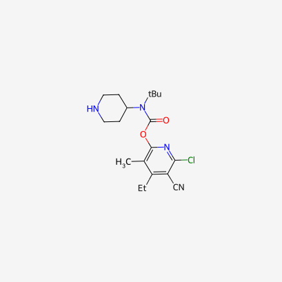 CCc1c(C)c(OC(=O)N(C2CCNCC2)C(C)(C)C)nc(Cl)c1C#N